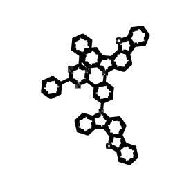 c1ccc(-c2nc(-c3ccccc3)nc(-c3cc(-n4c5ccccc5c5c6oc7ccccc7c6ccc54)ccc3-n3c4ccccc4c4c5oc6ccccc6c5ccc43)n2)cc1